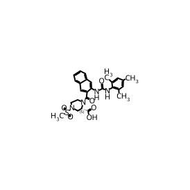 Cc1cc(C)c(NC(=O)Nc2cc3ccccc3cc2C(=O)N2CCN(S(C)(=O)=O)C[C@H]2C(=O)O)c(C)c1